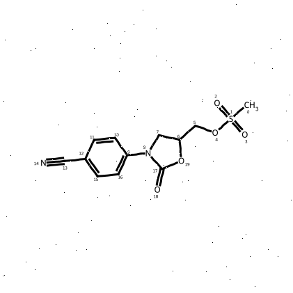 CS(=O)(=O)OCC1CN(c2ccc(C#N)cc2)C(=O)O1